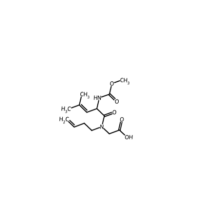 C=CCCN(CC(=O)O)C(=O)C(C=C(C)C)NC(=O)OC